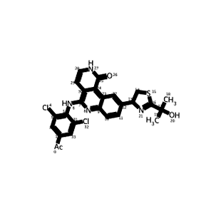 CC(=O)c1cc(Cl)c(Nc2nc3ccc(C4CSC(C(C)(C)O)=N4)cc3c3c(=O)[nH]ccc23)c(Cl)c1